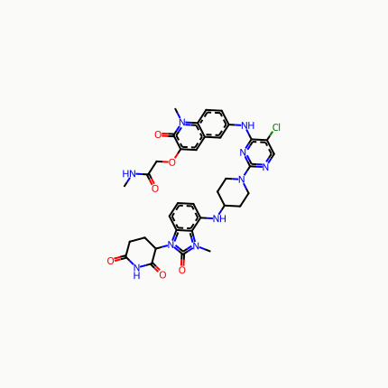 CNC(=O)COc1cc2cc(Nc3nc(N4CCC(Nc5cccc6c5n(C)c(=O)n6C5CCC(=O)NC5=O)CC4)ncc3Cl)ccc2n(C)c1=O